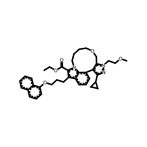 CCOC(=O)c1c(CCCOc2cccc3ccccc23)c2cccc3c2n1CCCCOCc1c-3c(C2CC2)nn1CCOC